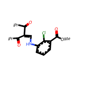 COC(=O)c1cccc(NC=C(C(=O)C(C)C)C(=O)C(C)C)c1Cl